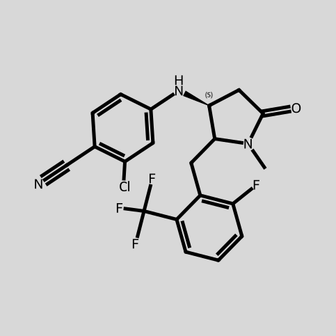 CN1C(=O)C[C@H](Nc2ccc(C#N)c(Cl)c2)C1Cc1c(F)cccc1C(F)(F)F